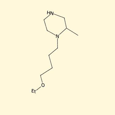 CCOCCCCN1CCNCC1C